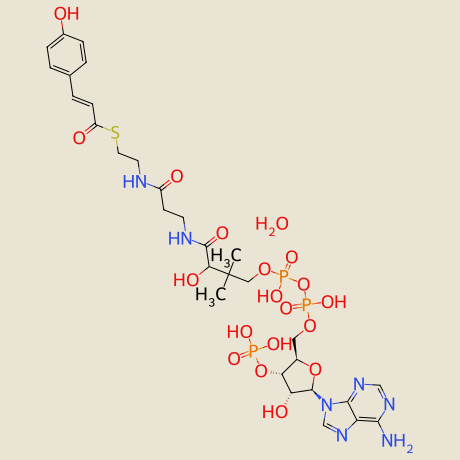 CC(C)(COP(=O)(O)OP(=O)(O)OC[C@H]1O[C@@H](n2cnc3c(N)ncnc32)[C@H](O)[C@@H]1OP(=O)(O)O)C(O)C(=O)NCCC(=O)NCCSC(=O)/C=C/c1ccc(O)cc1.O